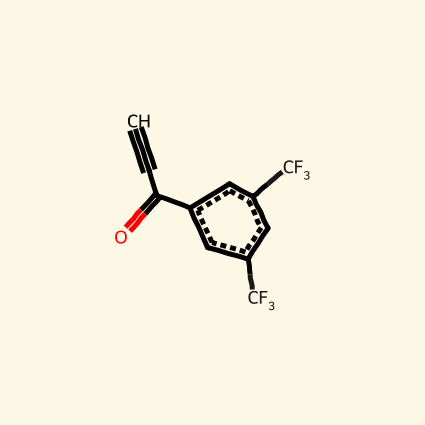 C#CC(=O)c1cc(C(F)(F)F)cc(C(F)(F)F)c1